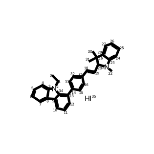 CCn1c2ccccc2c2cccc(-c3ccc(C=CC4N(C)c5ccccc5C4(C)C)cc3)c21.I